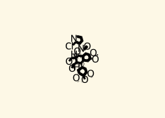 COc1cc([C@@H]2c3cc4c(cc3[C@H](ON(C=O)c3cccnc3Cl)[C@H]3COC(=O)[C@H]23)OCO4)cc(OC)c1OC